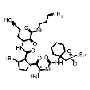 C#CCCC(NC(=O)C1C(C(C)(C)C)CCN1C(=O)[C@@H](NC(=O)NC1(CS(=O)(=O)C(C)(C)C)CCCCC1)C(C)(C)C)C(=O)C(=O)NCCC=C